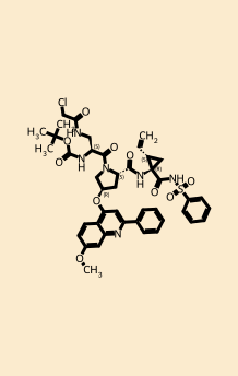 C=C[C@@H]1C[C@]1(NC(=O)[C@@H]1C[C@@H](Oc2cc(-c3ccccc3)nc3cc(OC)ccc23)CN1C(=O)[C@H](CNC(=O)CCl)NC(=O)OC(C)(C)C)C(=O)NS(=O)(=O)c1ccccc1